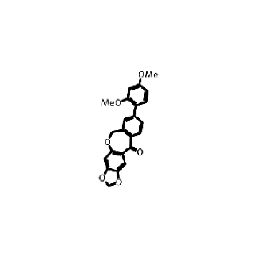 COc1ccc(-c2ccc3c(c2)COc2cc4c(cc2C3=O)OCO4)c(OC)c1